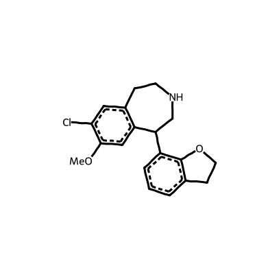 COc1cc2c(cc1Cl)CCNCC2c1cccc2c1OCC2